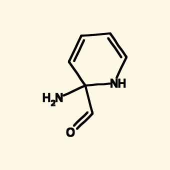 NC1(C=O)C=CC=CN1